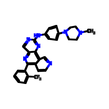 CN1CCN(c2ccc(Nc3ncc4nc(-c5ccccc5C(F)(F)F)c5ccncc5c4n3)cc2)CC1